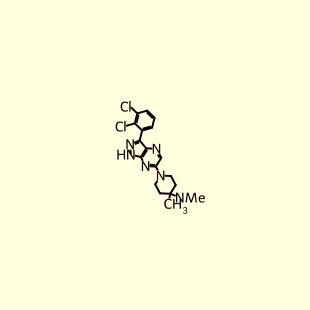 CNC1(C)CCN(c2cnc3c(-c4cccc(Cl)c4Cl)n[nH]c3n2)CC1